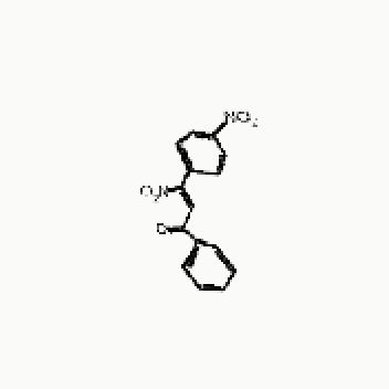 O=C(C=C(c1ccc([N+](=O)[O-])cc1)[N+](=O)[O-])c1ccccc1